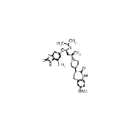 C=C(/C=C(\N=C(C)C)Oc1cc(C)c2[nH]c(=O)oc2c1)N1CCC(N2CCc3cc(OC)ccc3NC2=O)CC1